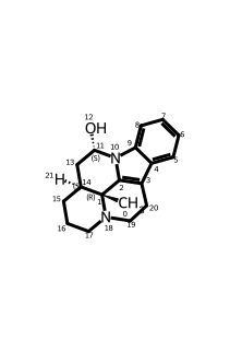 C[C@]12c3c4c5ccccc5n3[C@@H](O)C[C@@H]1CCCN2CC4